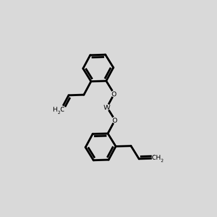 C=CCc1ccccc1[O][W][O]c1ccccc1CC=C